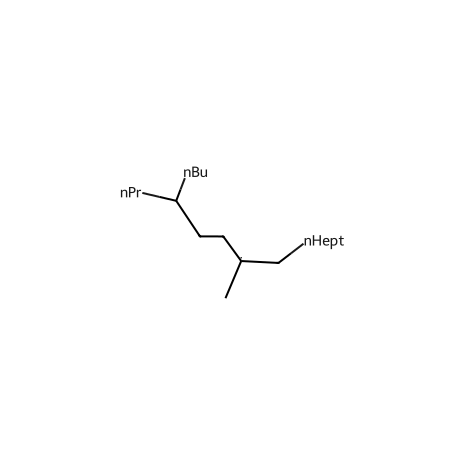 CCCCCCCC[C](C)CCC(CCC)CCCC